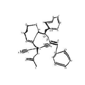 C=C(C)CC(C#N)(C#N)C1=CCCCC1C(C=Cc1ccccc1)c1ccccc1